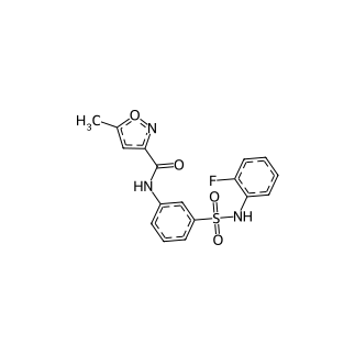 Cc1cc(C(=O)Nc2cccc(S(=O)(=O)Nc3ccccc3F)c2)no1